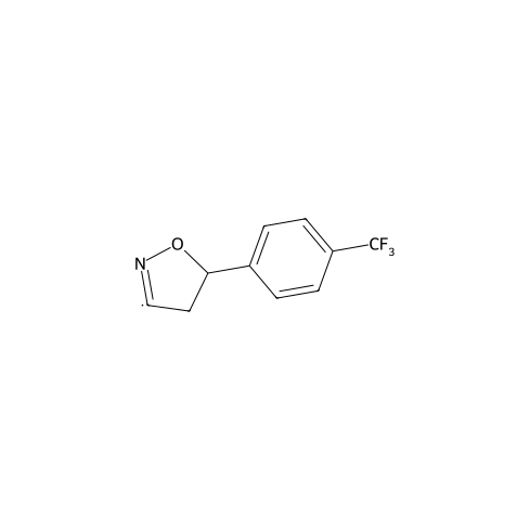 FC(F)(F)c1ccc(C2C[C]=NO2)cc1